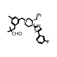 Cc1cc(CN2CCN(c3ncc(-c4cccc(F)c4)s3)[C@H](CC(C)C)C2)cc(CC(C)(C)C=O)c1